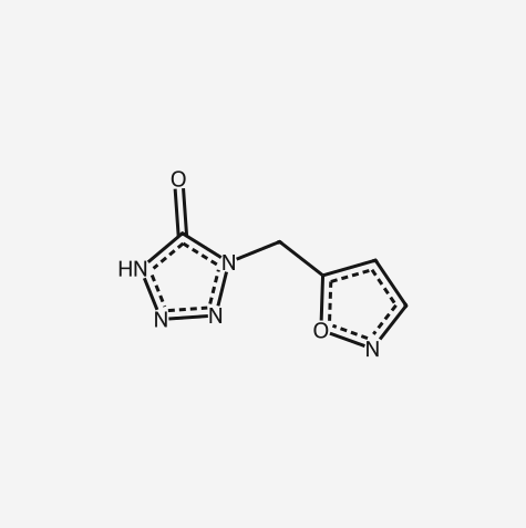 O=c1[nH]nnn1Cc1ccno1